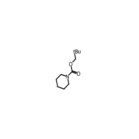 CC(C)(C)COC(=O)N1CC[CH]CC1